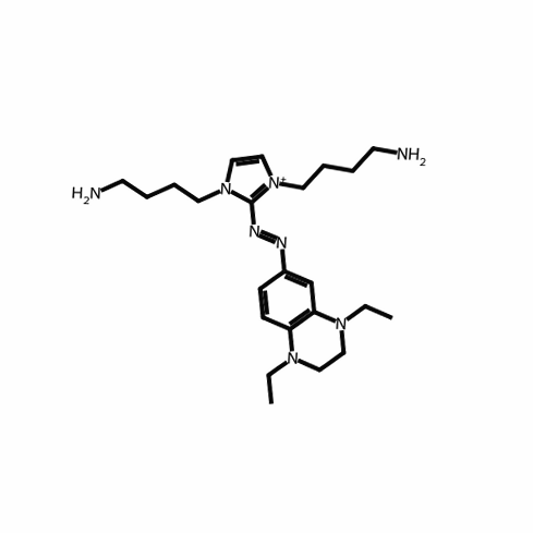 CCN1CCN(CC)c2cc(/N=N/c3n(CCCCN)cc[n+]3CCCCN)ccc21